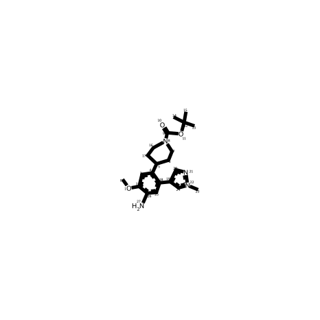 COc1cc(C2CCN(C(=O)OC(C)(C)C)CC2)c(-c2cnn(C)c2)cc1N